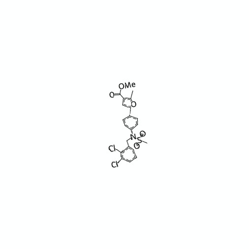 COC(=O)c1cc(-c2ccc(N(Cc3cccc(Cl)c3Cl)S(C)(=O)=O)cc2)oc1C